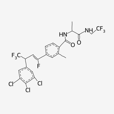 Cc1cc(/C(F)=C/C(c2cc(Cl)c(Cl)c(Cl)c2)C(F)(F)F)ccc1C(=O)NC(C)C(=O)NCC(F)(F)F